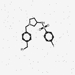 CC(C)Cc1ccc(CN2CCC(NS(=O)(=O)c3ccc(I)cc3)C2)cc1